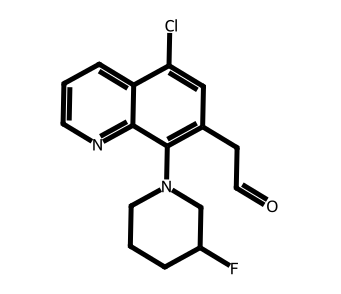 O=CCc1cc(Cl)c2cccnc2c1N1CCCC(F)C1